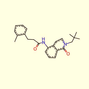 Cc1ccccc1CCC(=O)Nc1cccc2c(=O)n(CC(C)(C)C)ccc12